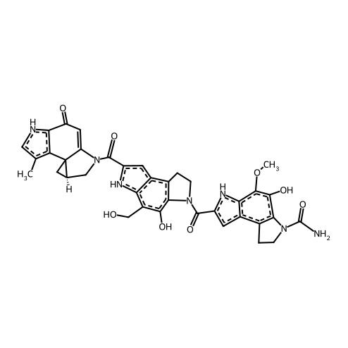 COc1c(O)c2c(c3cc(C(=O)N4CCc5c4c(O)c(CO)c4[nH]c(C(=O)N6C[C@H]7CC78C6=CC(=O)c6[nH]cc(C)c68)cc54)[nH]c13)CCN2C(N)=O